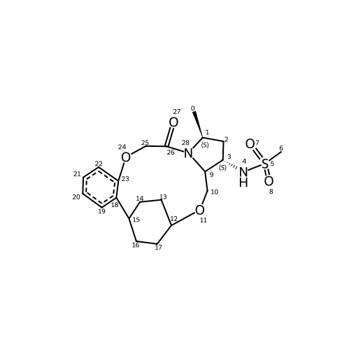 C[C@H]1C[C@H](NS(C)(=O)=O)C2COC3CCC(CC3)c3ccccc3OCC(=O)N21